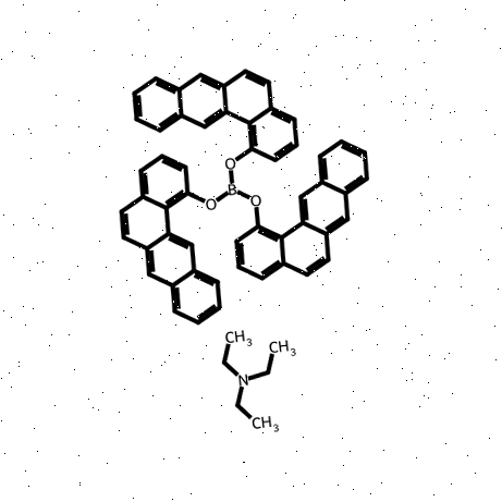 CCN(CC)CC.c1ccc2cc3c(ccc4cccc(OB(Oc5cccc6ccc7cc8ccccc8cc7c56)Oc5cccc6ccc7cc8ccccc8cc7c56)c43)cc2c1